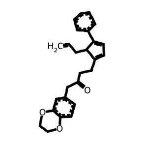 C=CCC1C(CCC(=O)Cc2ccc3c(c2)OCCO3)=CC=C1c1ccccc1